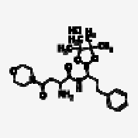 CC1(C)OB(C(CCc2ccccc2)NC(=O)C(N)CC(=O)N2CCOCC2)OC1(C)C.Cl